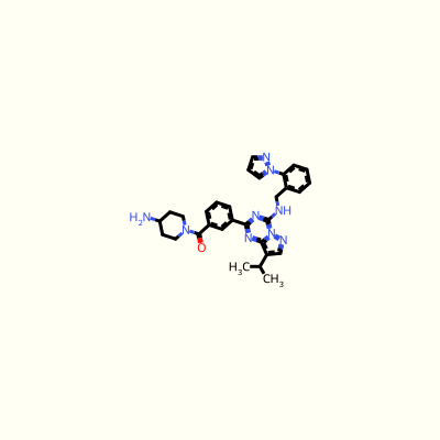 CC(C)c1cnn2c(NCc3ccccc3-n3cccn3)nc(-c3cccc(C(=O)N4CCC(N)CC4)c3)nc12